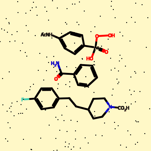 CC(=O)Nc1ccc([As](=O)(O)OO)cc1.NC(=O)c1ccccc1.O=C(O)N1CCC(CCc2ccc(F)cc2)CC1